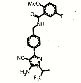 COc1ccc(F)cc1C(=O)NCc1ccc(-c2nn(C(C)C(F)(F)F)c(N)c2C#N)cc1